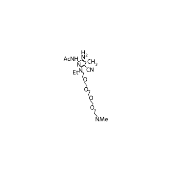 CCN(CCOCCOCCOCCOCCCNC)c1nc(NC(C)=O)c(N)c(C)c1C#N